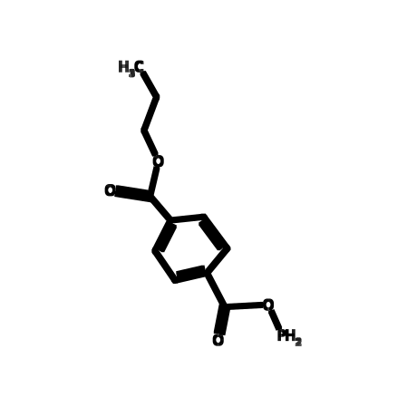 CCCOC(=O)c1ccc(C(=O)OP)cc1